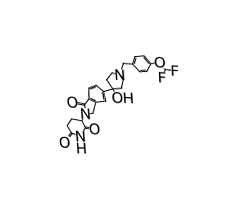 O=C1CCC(N2Cc3cc(C4(O)CCN(Cc5ccc(OC(F)F)cc5)CC4)ccc3C2=O)C(=O)N1